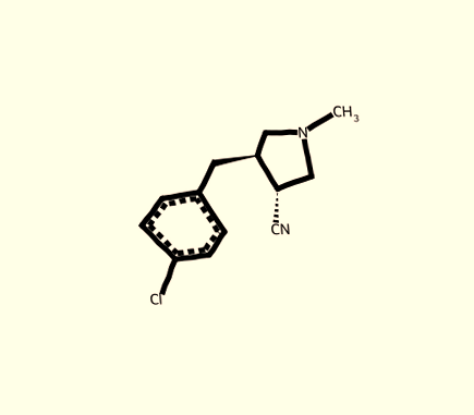 CN1C[C@H](Cc2ccc(Cl)cc2)[C@@H](C#N)C1